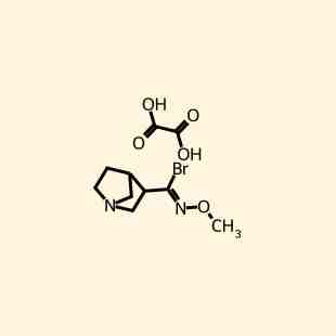 CON=C(Br)C1CN2CCC1C2.O=C(O)C(=O)O